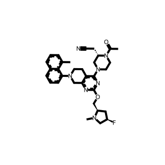 CC(=O)N1CCN(c2nc(OC[C@H]3C[C@@H](F)CN3C)nc3c2CCN(c2cccc4cccc(C)c24)C3)C[C@@H]1CC#N